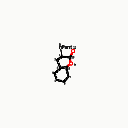 CCCCCc1cc2ccccc2oc1=O